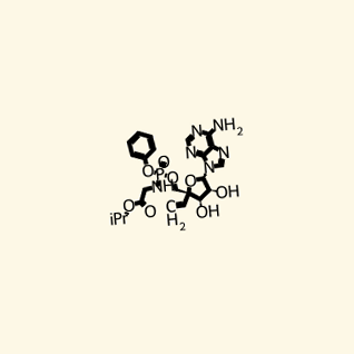 C=C[C@]1(COP(=O)(NCC(=O)OC(C)C)Oc2ccccc2)O[C@@H](n2cnc3c(N)ncnc32)[C@H](O)[C@@H]1O